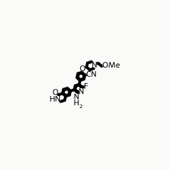 COCCN1CCC(Oc2ccc(-c3cc(-c4ccc5c(c4)CCNC5=O)c(N)nc3F)cc2C#N)CC1